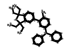 CCC1(CC)OC(CC)(CC)c2cc(-c3cc(N(c4ccccc4)c4ccccc4)ccc3C)ccc21